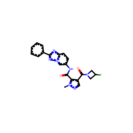 Cn1ncc(C(=O)N2CC(F)C2)c1C(=O)Nc1ccc2nc(-c3ccccc3)nn2c1